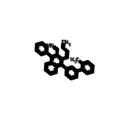 C=C/C=C\c1c(C=N)c(-c2ccccc2)c2ccccc2c1-c1cccc(-c2ccccc2C)c1